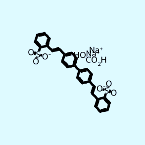 O=C(O)O.O=S(=O)([O-])c1ccccc1C=Cc1ccc(-c2ccc(C=Cc3ccccc3S(=O)(=O)[O-])cc2)cc1.[Na+].[Na+]